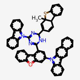 CC12C=C(C3N=C(n4c5ccccc5c5ccccc54)N=C(c4cc(-n5c6ccccc6c6cc7ccccc7cc65)cc5oc6ccccc6c45)N3)C=CC1c1ccccc1S2